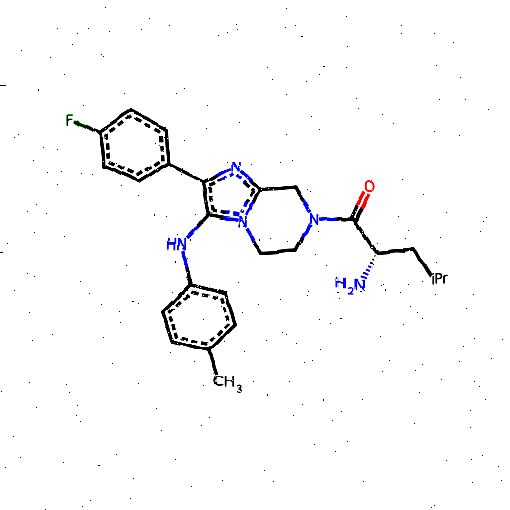 Cc1ccc(Nc2c(-c3ccc(F)cc3)nc3n2CCN(C(=O)[C@@H](N)CC(C)C)C3)cc1